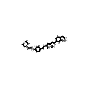 C(=C\c1cc(/C=C/c2ccc3cc[nH]c3c2)[nH]n1)/c1ccc(OCCN2CCOCC2)cc1